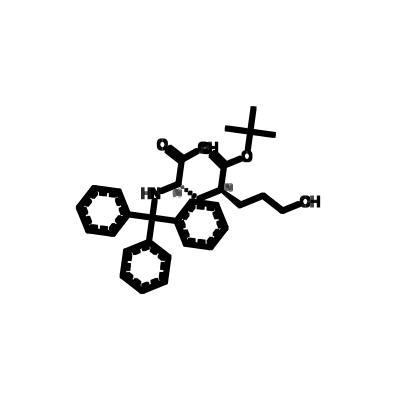 CC(C)(C)OC(=O)[C@@H](CCCO)C[C@H](NC(c1ccccc1)(c1ccccc1)c1ccccc1)C(=O)O